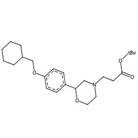 CC(C)(C)OC(=O)CCN1CCOC(c2ccc(OCC3CCCCC3)cc2)C1